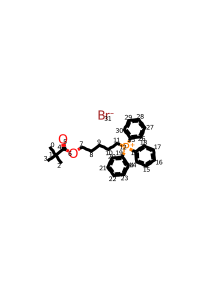 CC(C)(C)C(=O)OCCCCC[P+](c1ccccc1)(c1ccccc1)c1ccccc1.[Br-]